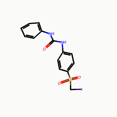 O=C(Nc1ccccc1)Nc1ccc(S(=O)(=O)CI)cc1